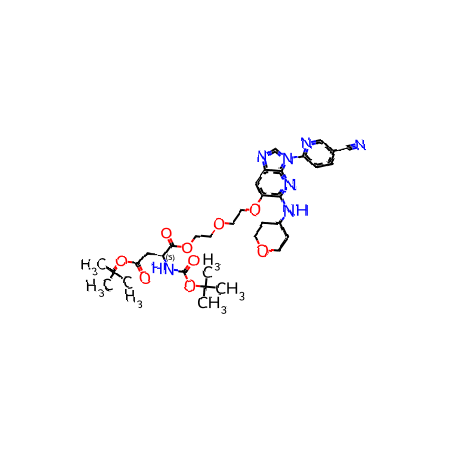 CC(C)(C)OC(=O)C[C@H](NC(=O)OC(C)(C)C)C(=O)OCCOCCOc1cc2ncn(-c3ccc(C#N)cn3)c2nc1NC1CCOCC1